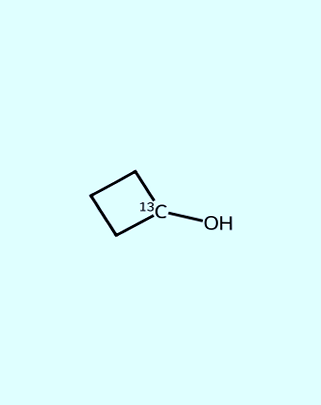 O[13CH]1CCC1